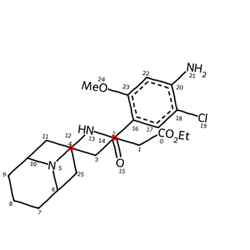 CCOC(=O)CCCCN1C2CCCC1CC(NC(=O)c1cc(Cl)c(N)cc1OC)C2